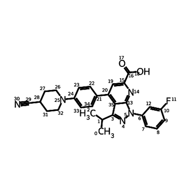 CC(C)c1nn(-c2cccc(F)c2)c2nc(C(=O)O)cc(-c3ccc(N4CCC(C#N)CC4)cc3)c12